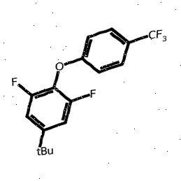 CC(C)(C)c1cc(F)c(Oc2ccc(C(F)(F)F)cc2)c(F)c1